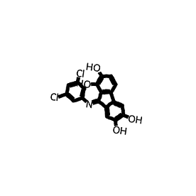 Oc1cc2c(cc1O)-c1ccc(O)c(O)c1C2=Nc1cc(Cl)cc(Cl)c1